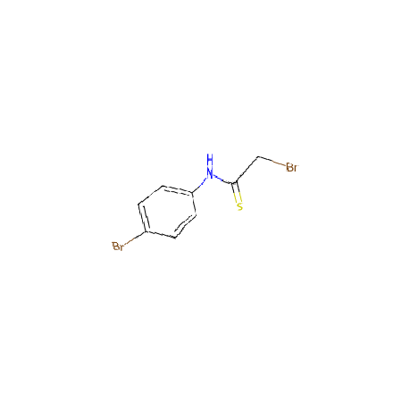 S=C(CBr)Nc1ccc(Br)cc1